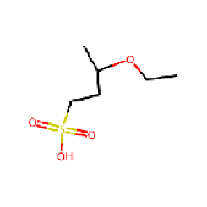 CCOC(C)CCS(=O)(=O)O